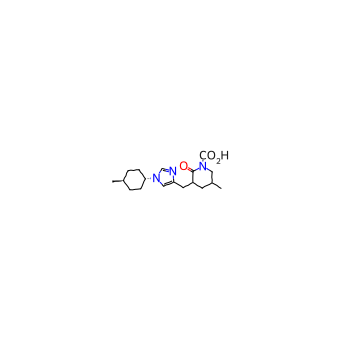 CC1CC(Cc2cn([C@H]3CC[C@H](C)CC3)cn2)C(=O)N(C(=O)O)C1